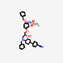 CS(=O)(=O)Nc1cc(OC[C@@H](O)CN(Cc2ccccc2)C2CCC(c3ccc(C#N)cc3)CC2)ccc1OCc1ccccc1